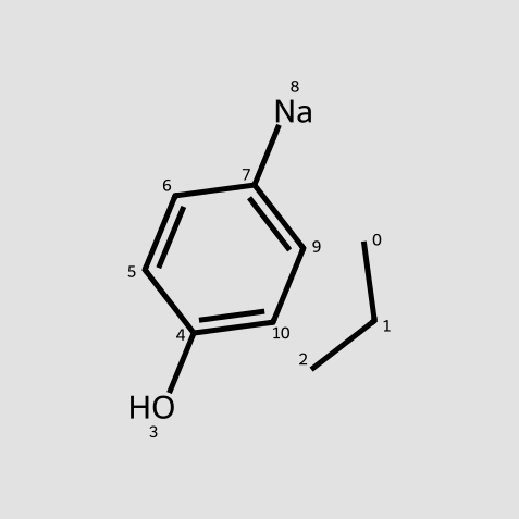 CCC.Oc1cc[c]([Na])cc1